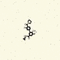 Cc1c(F)cc(C(=O)NC2CC2)cc1-c1ccc(C(=O)N2CCCC2)c(F)c1